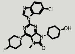 Cn1c(=O)n([C@H]2CC[C@H](O)CC2)c2nc(-n3cnc4ccc(Cl)cc43)nc(N3CCC(F)CC3)c21